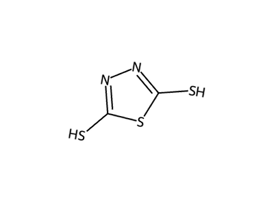 Sc1nnc(S)s1